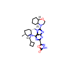 C[C@@H](Nc1nc(-c2n[nH]c(=O)o2)nc2nc(N3CCO[C@@H]4CCCC[C@@H]43)n(C[C@H]3CC[C@H](C)CC3)c12)C1CCC1